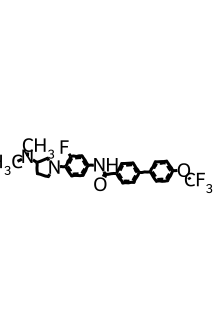 CN(C)C1CCN(c2ccc(NC(=O)c3ccc(-c4ccc(OC(F)(F)F)cc4)cc3)cc2F)C1